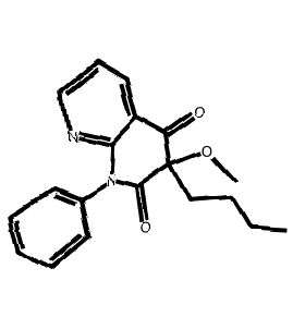 CCCCC1(OC)C(=O)c2cccnc2N(c2ccccc2)C1=O